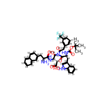 CC(C)(C)OC(=O)N[C@@H](Cc1c[nH]c2ccccc12)C(=O)N(C(=O)Cc1cccc(C(F)(F)F)c1)C(=O)[C@H](CC(=O)O)NC(=O)[C@@H](N)Cc1ccc2ccccc2c1